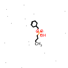 CCCCP(=O)(O)OCC1CC=CCC1